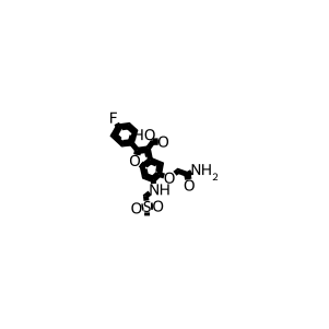 CS(=O)(=O)CNc1cc2oc(-c3ccc(F)cc3)c(C(=O)O)c2cc1OCC(N)=O